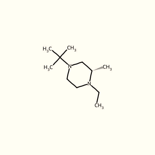 CCN1CCN(C(C)(C)C)C[C@@H]1C